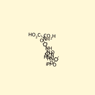 Cc1ccc(C(=O)OC(C)C)c(Nc2nc(=O)c3nc(CNc4ccc(C(=O)NC(CCC(=O)O)C(=O)O)cc4)cnc3[nH]2)c1